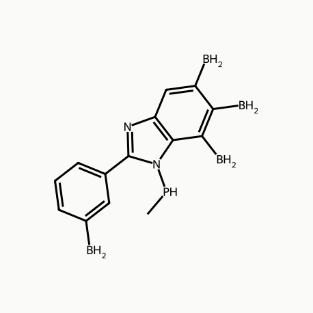 Bc1cccc(-c2nc3cc(B)c(B)c(B)c3n2PC)c1